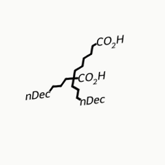 CCCCCCCCCCCCCC(CCCCCCCCCCCCC)(CCCCCC(=O)O)C(=O)O